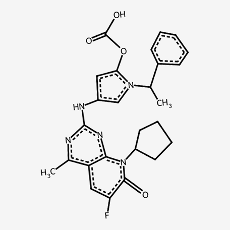 Cc1nc(Nc2cc(OC(=O)O)n(C(C)c3ccccc3)c2)nc2c1cc(F)c(=O)n2C1CCCC1